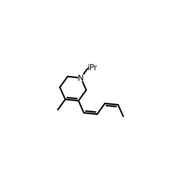 C/C=C\C=C/C1=C(C)CCN(C(C)C)C1